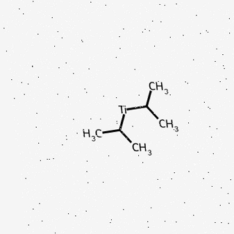 C[CH](C)[Ti][CH](C)C